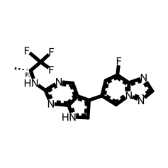 C[C@@H](Nc1ncc2c(-c3cc(F)c4ncnn4c3)c[nH]c2n1)C(F)(F)F